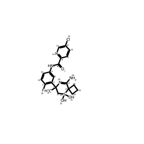 CC1(c2cc(NC(=O)c3ccc(Cl)cn3)ccc2F)CS(O)(O)C2(CCC2)C(N)=N1